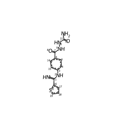 N=C(Nc1ccc(C(=O)NNC(N)=O)cc1)c1cccs1